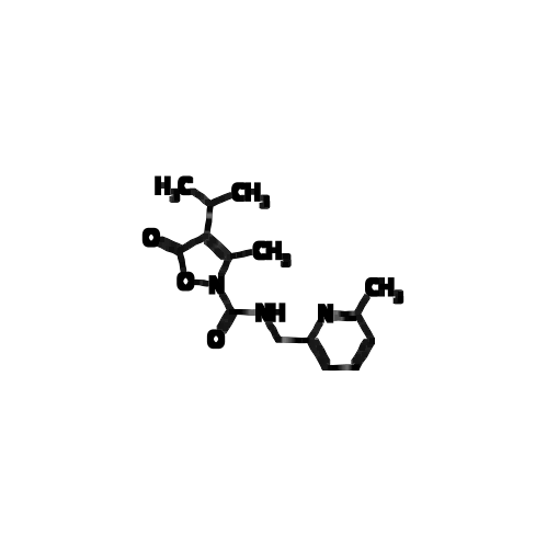 Cc1cccc(CNC(=O)n2oc(=O)c(C(C)C)c2C)n1